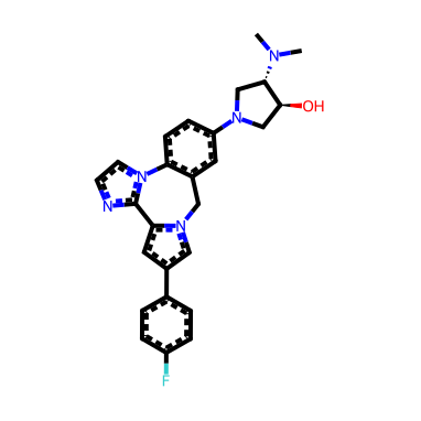 CN(C)[C@H]1CN(c2ccc3c(c2)Cn2cc(-c4ccc(F)cc4)cc2-c2nccn2-3)C[C@@H]1O